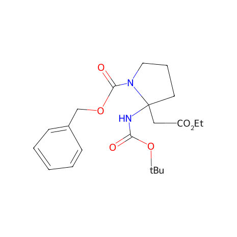 CCOC(=O)CC1(NC(=O)OC(C)(C)C)CCCN1C(=O)OCc1ccccc1